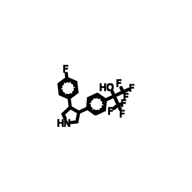 OC(c1ccc(C2CNCC2c2ccc(F)cc2)cc1)(C(F)(F)F)C(F)(F)F